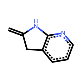 C=C1Cc2cccnc2N1